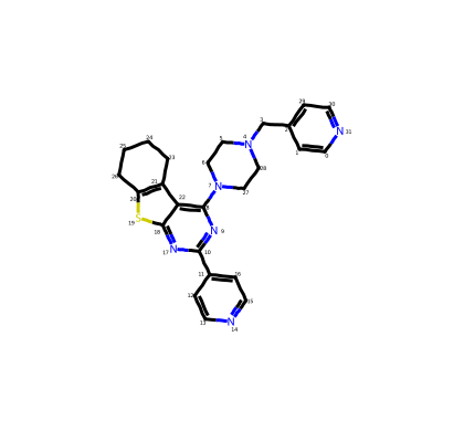 c1cc(CN2CCN(c3nc(-c4ccncc4)nc4sc5c(c34)CCCC5)CC2)ccn1